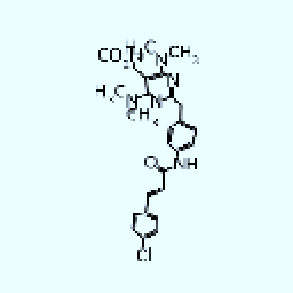 CN(C)c1nc(Cc2ccc(NC(=O)C=Cc3ccc(Cl)cc3)cc2)nc(N(C)C)c1CC(=O)O